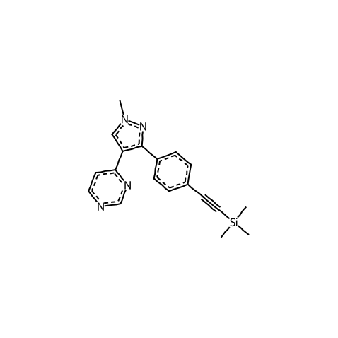 Cn1cc(-c2ccncn2)c(-c2ccc(C#C[Si](C)(C)C)cc2)n1